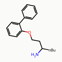 CCCCC(N)CCOc1ccccc1-c1ccccc1